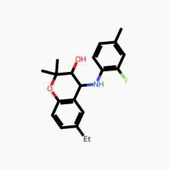 CCc1ccc2c(c1)C(Nc1ccc(C)cc1F)C(O)C(C)(C)O2